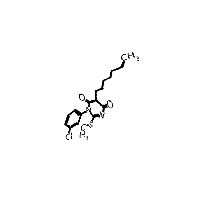 CCCCCCCC1C(=O)N=C(SC)N(c2cccc(Cl)c2)C1=O